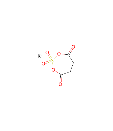 O=C1CCC(=O)OS(=O)(=O)O1.[K]